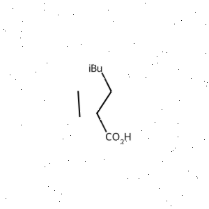 CC.CCC(C)CCC(=O)O